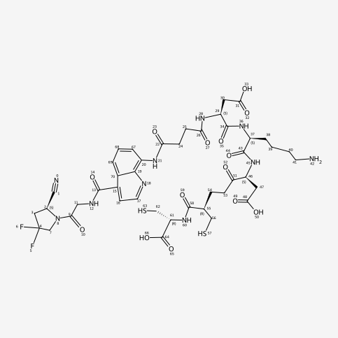 N#C[C@@H]1CC(F)(F)CN1C(=O)CNC(=O)c1ccnc2c(NC(=O)CCC(=O)N[C@@H](CC(=O)O)C(=O)N[C@@H](CCCCN)C(=O)N[C@@H](CC(=O)O)C(=O)CC[C@@H](CS)C(=O)N[C@@H](CS)C(=O)O)cccc12